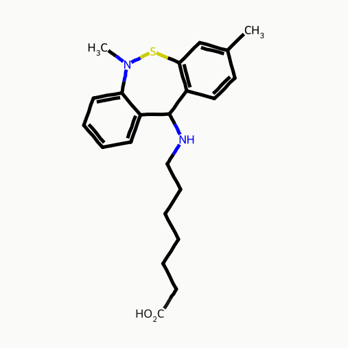 Cc1ccc2c(c1)SN(C)c1ccccc1C2NCCCCCCC(=O)O